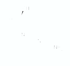 C[C@H]1CN(c2cccc(N)n2)CCO1